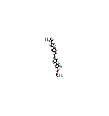 C=CCCOc1ccc(C2CCC(CC/C=C/C3CCC(C4CCC(CCC)CC4)CC3)CC2)c(F)c1F